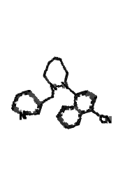 N#Cc1ccc(N2CCCCN2Cc2cccnc2)c2ccccc12